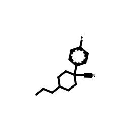 CCCC1CCC(C#N)(c2ccc(F)cc2)CC1